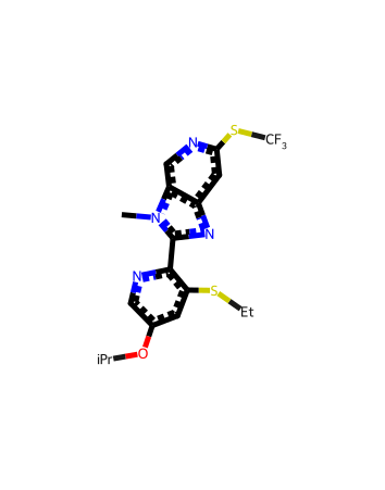 CCSc1cc(OC(C)C)cnc1-c1nc2cc(SC(F)(F)F)ncc2n1C